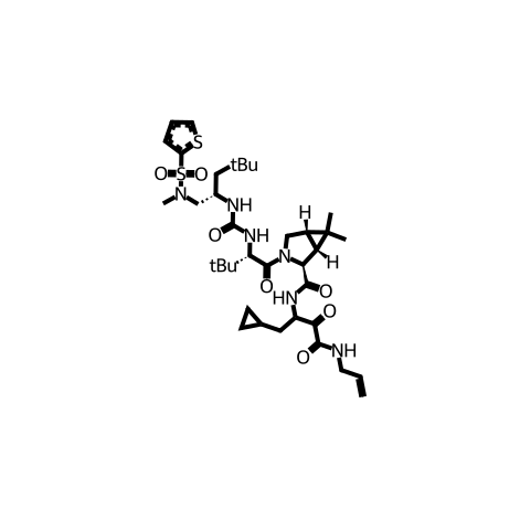 C=CCNC(=O)C(=O)C(CC1CC1)NC(=O)[C@@H]1[C@@H]2[C@H](CN1C(=O)[C@@H](NC(=O)N[C@H](CN(C)S(=O)(=O)c1cccs1)CC(C)(C)C)C(C)(C)C)C2(C)C